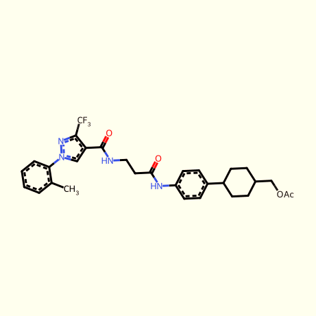 CC(=O)OCC1CCC(c2ccc(NC(=O)CCNC(=O)c3cn(-c4ccccc4C)nc3C(F)(F)F)cc2)CC1